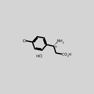 Cl.N[C@H](CC(=O)O)c1ccc(Cl)cc1